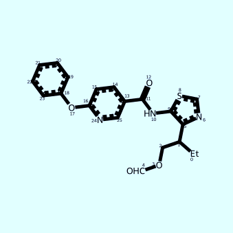 CCC(COC=O)c1ncsc1NC(=O)c1ccc(Oc2ccccc2)nc1